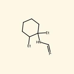 CCC1CCCCC1(CC)NC=[P]